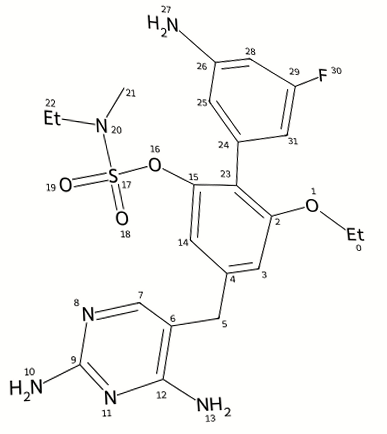 CCOc1cc(Cc2cnc(N)nc2N)cc(OS(=O)(=O)N(C)CC)c1-c1cc(N)cc(F)c1